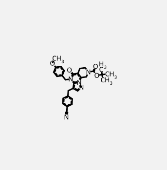 COc1ccc(Cn2c(=O)c3c(n4ncc(Cc5ccc(C#N)cc5)c24)CN(C(=O)OC(C)(C)C)CC3)cc1